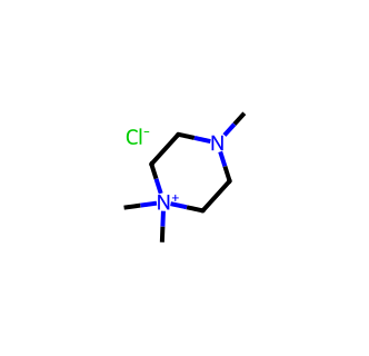 CN1CC[N+](C)(C)CC1.[Cl-]